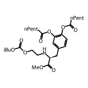 CCCCCC(=O)Oc1ccc(C[C@H](NCCOC(=O)OCC(C)C)C(=O)OC)cc1OC(=O)CCCCC